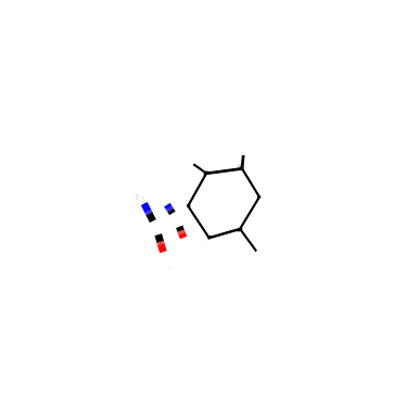 CC1CCC(C)C(C)C1.N=C=O.N=C=O